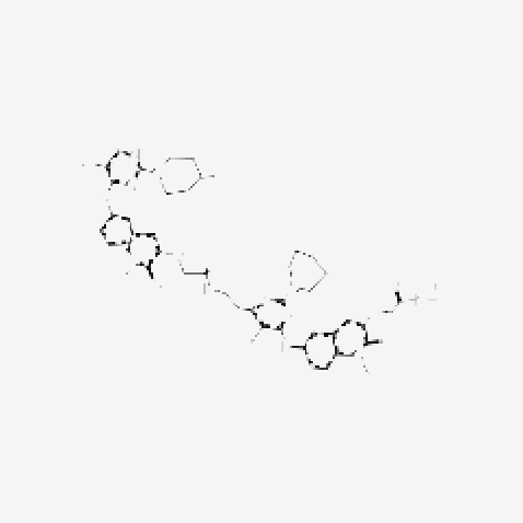 CCNC(=O)COc1cc2cc(Nc3nc(N4CCCCC4)nc(CCNC(=O)COc4cc5cc(Nc6nc(N7CCC(C)CC7)ncc6Cl)ccc5n(C)c4=O)c3Cl)ccc2n(C)c1=O